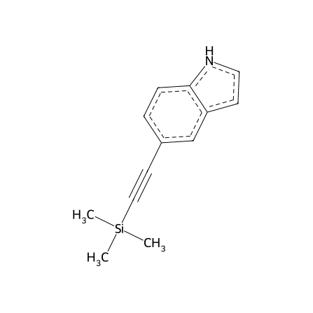 C[Si](C)(C)C#Cc1ccc2[nH]ccc2c1